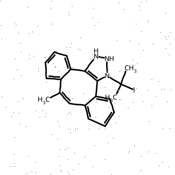 Cc1cc2ccccc2c2n(C(C)(C)I)[nH][nH]c=2c2ccccc12